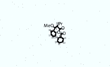 COC(=C(C(=O)OC(=O)c1ccccc1)C(C)C)c1ccccc1